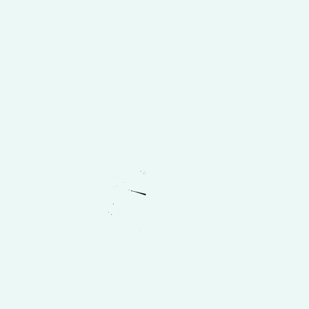 Cc1ccc2cc(C(=O)N[C@H]3C4CCN(CC4)C3(C)C)sc2c1